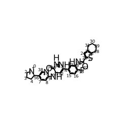 CN1CCCC1c1ccc(NC2C=C(c3ccc(F)c(NC(=O)c4cc5c(s4)CCCC5)c3)NNC2=O)nc1